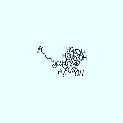 Cc1cc(COC(=O)CCCCCCC(C)C)ccc1OC1OC(CO)C(OC2OC(CO)C(O)C(O)C2O)C(O)C1O